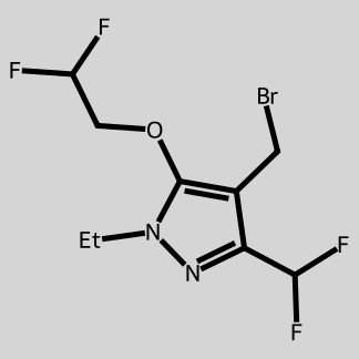 CCn1nc(C(F)F)c(CBr)c1OCC(F)F